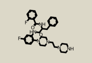 O=C(NC(Cc1ccccc1)C(=O)Nc1cc(F)ccc1N1CCN(CCN2CCNCC2)CC1)c1ccccc1F